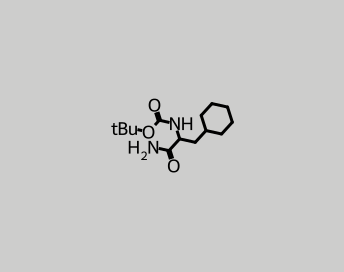 CC(C)(C)OC(=O)NC(CC1CCCCC1)C(N)=O